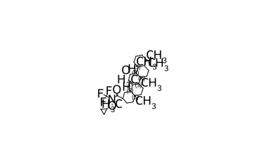 CC1(C(=O)N(OC2CC2)C(F)(F)F)CC[C@]2(C)CC[C@]3(C)C(=CC(=O)[C@@H]4[C@@]5(C)CCCC(C)(C)C5CC[C@]43C)[C@H]2C1